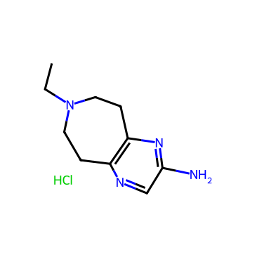 CCN1CCc2ncc(N)nc2CC1.Cl